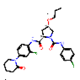 CCCO[C@@H]1C[C@H](C(=O)Nc2ccc(N3CCCCC3=O)cc2F)N(C(=O)Nc2ccc(Cl)cc2)C1